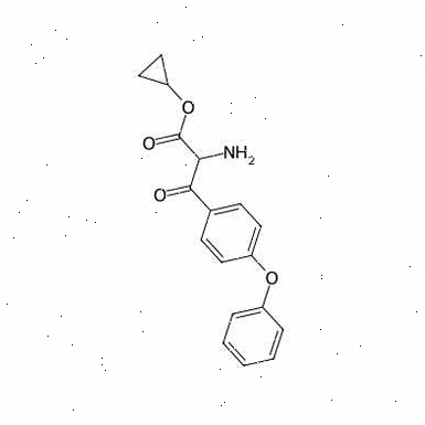 NC(C(=O)OC1CC1)C(=O)c1ccc(Oc2ccccc2)cc1